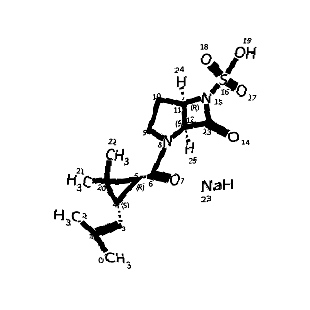 CC(C)=C[C@H]1[C@@H](C(=O)N2CC[C@@H]3[C@H]2C(=O)N3S(=O)(=O)O)C1(C)C.[NaH]